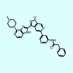 CN1CCN(c2nccc3[nH]c(-c4n[nH]c5cnc(-c6cncc(NC(=O)Cc7ccccc7)c6)cc45)nc23)CC1